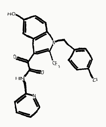 O=C(Nc1ccccn1)C(=O)c1c(C(F)(F)F)n(Cc2ccc(Cl)cc2)c2ccc(O)cc12